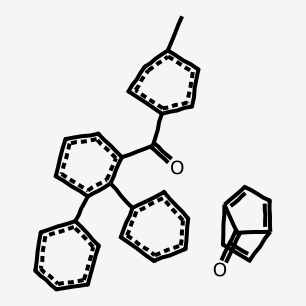 Cc1ccc(C(=O)c2cccc(-c3ccccc3)c2-c2ccccc2)cc1.O=C1C2=CC=C1C=C2